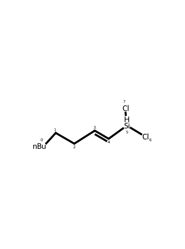 CCCCCCC=C[SiH](Cl)Cl